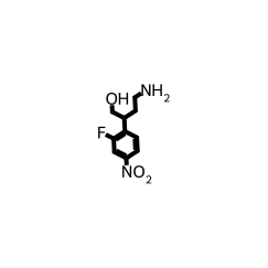 NCCC(CO)c1ccc([N+](=O)[O-])cc1F